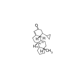 C[C@@]12CCC[C@H]1[C@@H]1CCC3=CC(=O)CC(C4CC4)[C@@H]3[C@H]1CC2